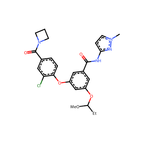 CCC(OC)Oc1cc(Oc2ccc(C(=O)N3CCC3)cc2Cl)cc(C(=O)Nc2ccn(C)n2)c1